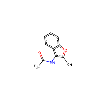 N#Cc1oc2ccccc2c1NC(=O)C(F)(F)F